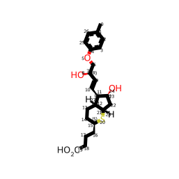 Cc1ccc(OC[C@H](O)C=C[C@@H]2[C@H]3CC[C@H](CCCC(=O)O)S[C@H]3C[C@H]2O)cc1